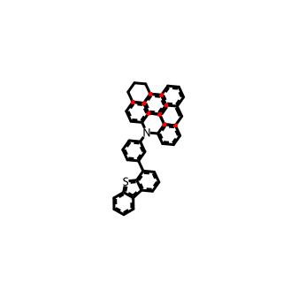 C1=c2cccc(C3CCCCC3)c2=C(c2ccccc2N(c2cccc(-c3cccc4c3sc3ccccc34)c2)c2ccccc2-c2ccccc2)CC1